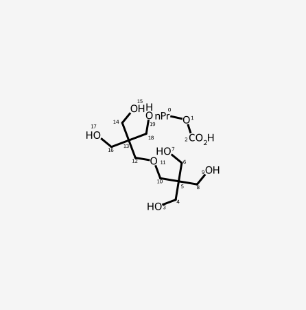 CCCOC(=O)O.OCC(CO)(CO)COCC(CO)(CO)CO